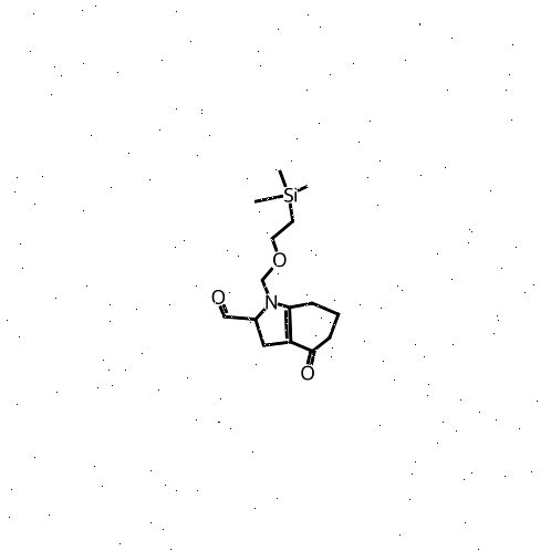 C[Si](C)(C)CCOCN1C2=C(CC1C=O)C(=O)CCC2